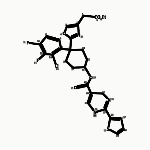 CCOC(=O)Cc1coc(C2(c3ccc(F)c(F)c3Cl)CCC(OC(=O)C3=CNC(c4nccs4)=NC3)CC2)n1